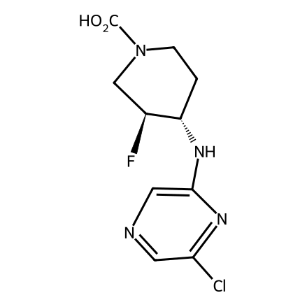 O=C(O)N1CC[C@H](Nc2cncc(Cl)n2)[C@@H](F)C1